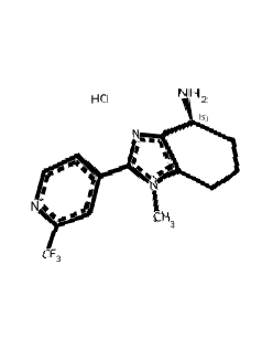 Cl.Cn1c(-c2ccnc(C(F)(F)F)c2)nc2c1CCC[C@@H]2N